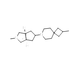 CC1CC2(CCN(C3C[C@H]4CN(C)C[C@@H]4C3)CC2)C1